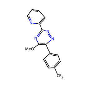 COc1nc(-c2ccccn2)nnc1-c1ccc(C(F)(F)F)cc1